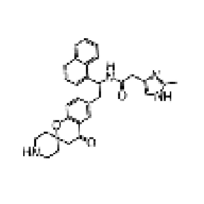 Cc1nc(CC(=O)NC(Cc2ccc3c(c2)C(=O)CC2(CCNCC2)O3)c2cccc3ccccc23)c[nH]1